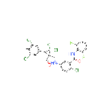 Cc1c(Cl)cc(C2C(Cl)(Cl)C2(C=O)CNc2ccc(Cl)c(C(=O)Nc3c(F)cccc3F)c2)cc1Cl